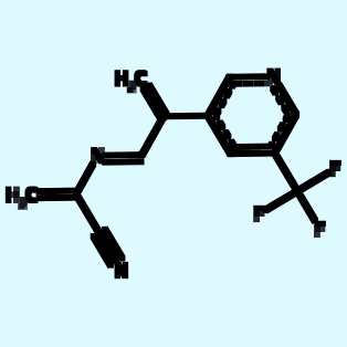 C=C(C#N)/N=C/C(=C)c1cncc(C(F)(F)F)c1